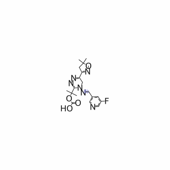 CC1(C)CC(C2=NN=C(C(C)(C)OC(=O)O)N(/N=C/c3cncc(F)c3)C2)=NO1